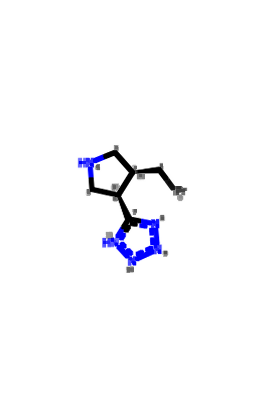 CC(C)C[C@@H]1CNC[C@@H]1c1nnn[nH]1